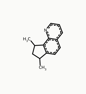 CC1CC(C)c2c1ccc1cccnc21